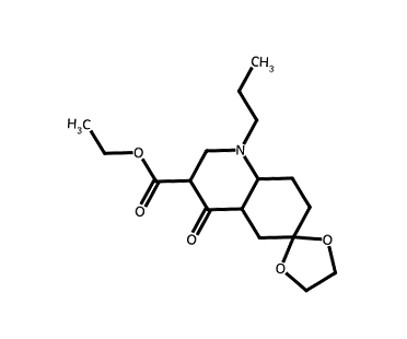 CCCN1CC(C(=O)OCC)C(=O)C2CC3(CCC21)OCCO3